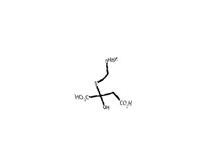 CCCCCCCCSC(O)(CC(=O)O)C(=O)O